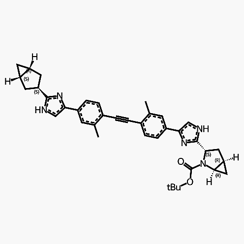 Cc1cc(-c2c[nH]c([C@H]3C[C@@H]4C[C@@H]4C3)n2)ccc1C#Cc1ccc(-c2c[nH]c([C@@H]3C[C@H]4C[C@H]4N3C(=O)OC(C)(C)C)n2)cc1C